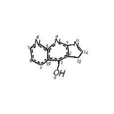 Oc1c2c(nc3ncccc13)N=CC2